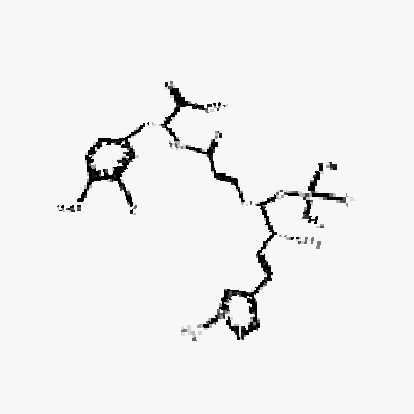 COC(=O)[C@@H](Cc1ccc(OC)c(Cl)c1)NC(=O)/C=C/C[C@H](O[Si](C)(C)C(C)(C)C)[C@H](C)/C=C/c1cnn(C)c1